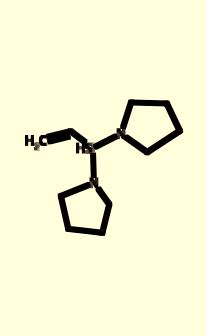 C=C[SiH](N1CCCC1)N1CCCC1